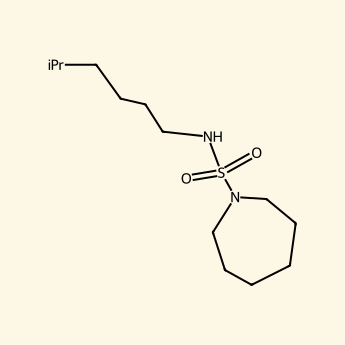 CC(C)CCCCNS(=O)(=O)N1CCCCCC1